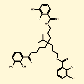 CC(C)C(CCCNC(=N)c1cccc(O)c1O)(CCCNC(=O)c1cccc(O)c1O)CCCNC(=O)c1cccc(O)c1O